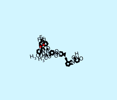 C[C@@H]1CN(C(=O)[C@@H]2N[C@]3(CCCC(C)(C)C3)[C@@]3(CNc4cc(C(F)(F)F)ncc43)[C@H]2c2cccc(Cl)c2F)c2ccc(S(=O)(=O)N3CCC4(CC3)C[C@@H]4C#Cc3cccc4c3CN([C@H]3CCC(=O)NC3=O)C4)cc2O1